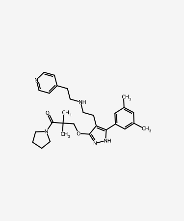 Cc1cc(C)cc(-c2[nH]nc(OCC(C)(C)C(=O)N3CCCC3)c2CCNCCc2ccncc2)c1